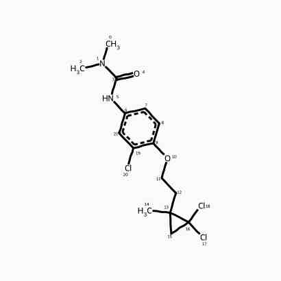 CN(C)C(=O)Nc1ccc(OCCC2(C)CC2(Cl)Cl)c(Cl)c1